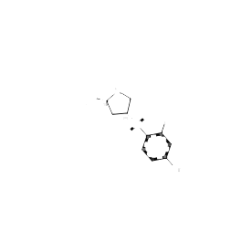 O=C(O)[C@@H]1C[C@@H](S(=O)(=O)c2ccc(Br)cc2C(F)(F)F)CN1